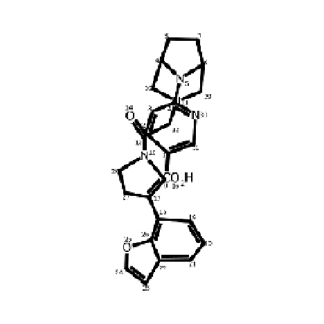 O=C(O)c1ccc(N2C3CCC2CN(CC(=O)N2C=C(c4cccc5ccoc45)CC2)C3)nc1